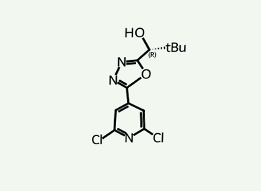 CC(C)(C)[C@@H](O)c1nnc(-c2cc(Cl)nc(Cl)c2)o1